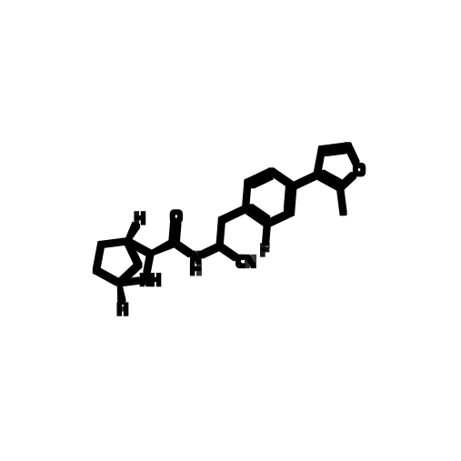 Cc1occc1-c1ccc(CC(C#N)NC(=O)[C@H]2N[C@@H]3CC[C@H]2C3)c(F)c1